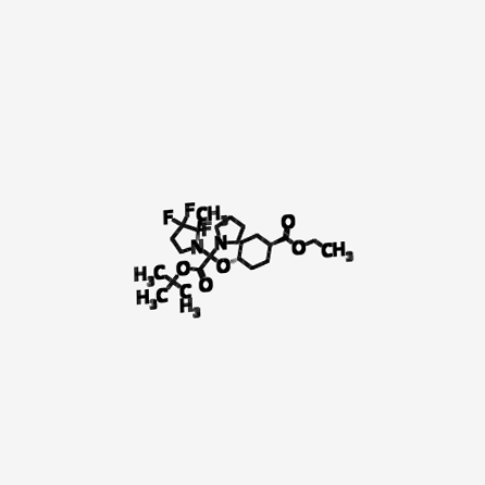 CCOC(=O)[C@H]1CC[C@H](OC(C(=O)OC(C)(C)C)(N2CCCC2)N2CCC(F)(F)[C@]2(C)F)CC1